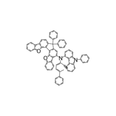 C#C/C(=C\C=C(/C)c1ccccc1)N(c1cc2c(c3oc4ccccc4c13)-c1c(ccc3c1oc1ccccc13)C2(c1ccccc1)c1ccccc1)c1cccc2c1c1ccccc1n2-c1ccccc1